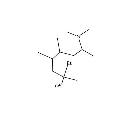 CCCC(C)(CC)CC(C)C(C)CC(C)N(C)C